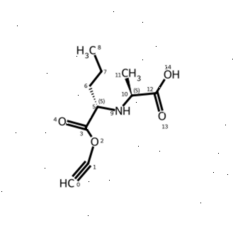 C#COC(=O)[C@H](CCC)N[C@@H](C)C(=O)O